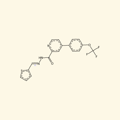 O=C(N/N=C/c1cccs1)c1cc(-c2ccc(OC(F)(F)F)cc2)ccn1